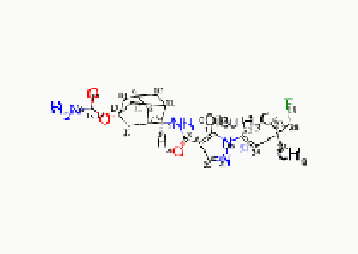 CC(C)COc1c(C(=O)N[C@H]2C3CC4CC2C[C@](OC(N)=O)(C4)C3)cnn1/C=C/C(C)(C)CF